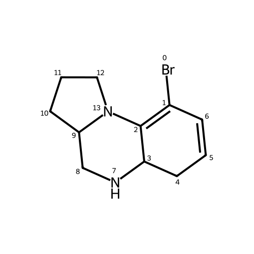 BrC1=C2C(CC=C1)NCC1CCCN21